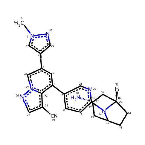 Cn1cc(-c2cc(-c3ccc(N4C5CC[C@H]4C[C@@H](N)C5)nc3)c3c(C#N)cnn3c2)cn1